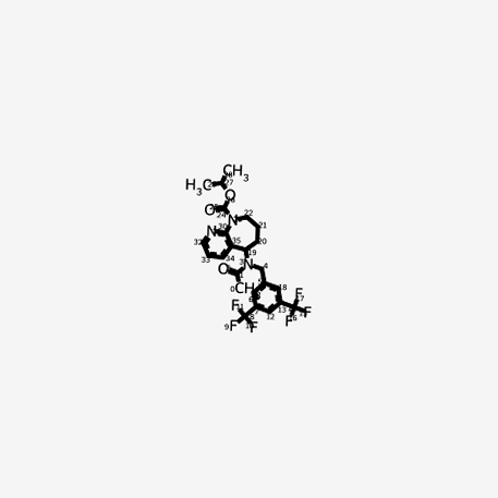 CC(=O)N(Cc1cc(C(F)(F)F)cc(C(F)(F)F)c1)C1CCCN(C(=O)OC(C)C)c2ncccc21